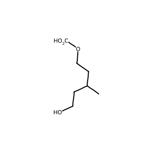 CC(CCO)CCOC(=O)O